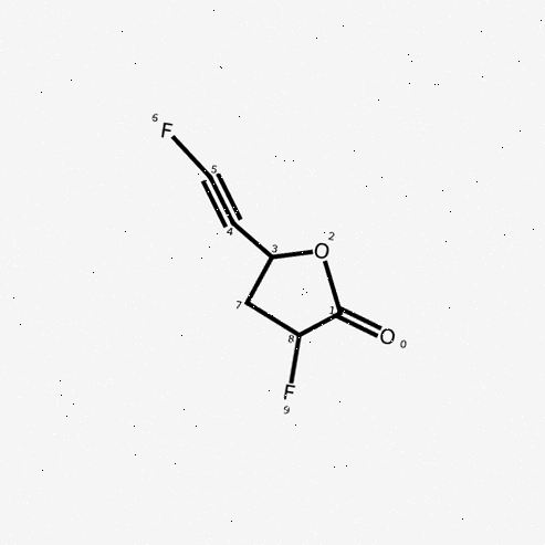 O=C1OC(C#CF)CC1F